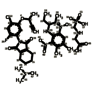 C#CC(C)Oc1cc(N2C(=O)C3=C(CCCC3)C2=O)c(F)cc1Cl.CCC(CC)Nc1c([N+](=O)[O-])cc(C)c(C)c1[N+](=O)[O-].C[S+](C)C.O=C(O)CNCP(=O)([O-])O